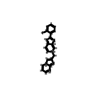 Fc1ccccc1-c1nc2ccn(Cc3cn4cccnc4n3)cc-2n1